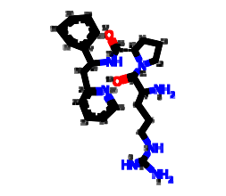 N=C(N)NCCCC(N)C(=O)N1CCC[C@H]1C(=O)NC(Cc1ccccn1)c1ccccc1